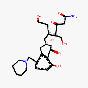 NC(=O)CC(=O)[C@@](O)(CO)[C@H](CCO)C[C@H]1CC(=O)c2c(O)ccc(CN3CCCCC3)c2C1